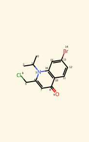 CC(C)n1c(CCl)cc(=O)c2ccc(Br)cc21